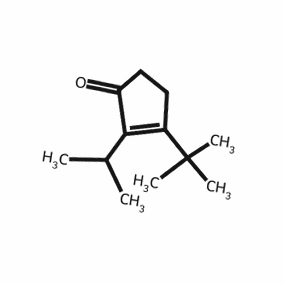 CC(C)C1=C(C(C)(C)C)CCC1=O